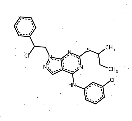 CCC(C)Sc1nc(Nc2cccc(Cl)c2)c2cnn(CC(Cl)c3ccccc3)c2n1